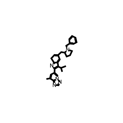 Cc1cc(C2=C(C(C)C)C3=CC(CC4CCCN4Cc4ccccc4)=CCC3=N2)cn2ncnc12